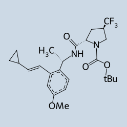 COc1ccc([C@H](C)NC(=O)[C@@H]2C[C@@H](C(F)(F)F)CN2C(=O)OC(C)(C)C)c(/C=C/C2CC2)c1